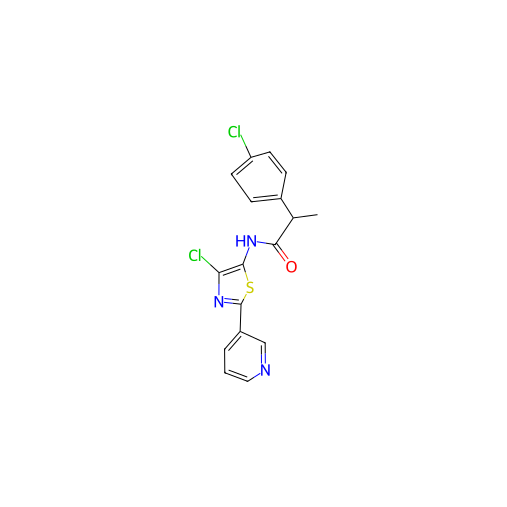 CC(C(=O)Nc1sc(-c2cccnc2)nc1Cl)c1ccc(Cl)cc1